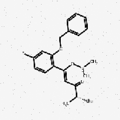 C[C@H](C(=O)/C=C(\O[SiH](C)C)c1ccc(F)cc1OCc1ccccc1)C(C)(C)C